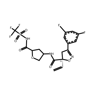 C=C[C@]1(C(=O)NC2COC(C(=O)NS(=O)(=O)C(F)(F)F)C2)CC(c2cc(F)cc(F)c2)=NO1